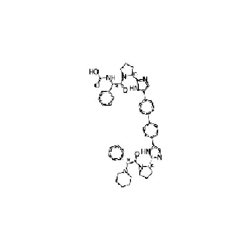 O=C(O)N[C@@H](C(=O)N1CCC[C@H]1c1ncc(-c2ccc(-c3ccc(-c4cnc([C@@H]5CCCN5C(=O)[C@@H](c5ccccc5)N5CCCCC5)[nH]4)cc3)cc2)[nH]1)c1ccccc1